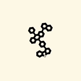 c1ccc(-c2c3ccccc3c(-c3ccc(-c4cccc5oc6ccccc6c45)cc3)c3ccc(-c4cccc5ccccc45)cc23)cc1